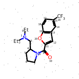 CCN(CC)CC1CCCN1C(=O)c1cc2cc(C(F)(F)F)ccc2o1